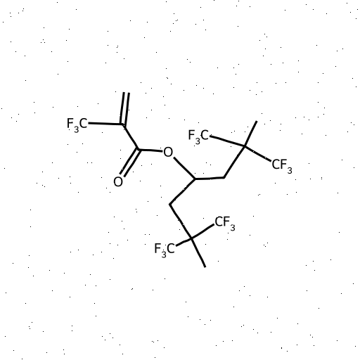 C=C(C(=O)OC(CC(C)(C(F)(F)F)C(F)(F)F)CC(C)(C(F)(F)F)C(F)(F)F)C(F)(F)F